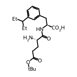 CCC(CC)c1cccc(C[C@H](NC(=O)[C@@H](N)CCC(=O)OC(C)(C)C)C(=O)O)c1